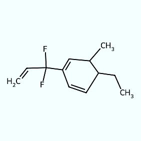 C=CC(F)(F)C1=CC(C)C(CC)C=C1